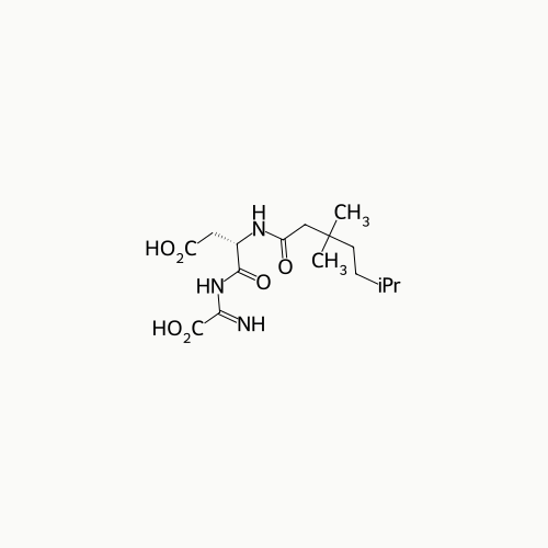 CC(C)CCC(C)(C)CC(=O)N[C@@H](CC(=O)O)C(=O)NC(=N)C(=O)O